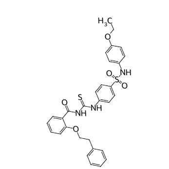 CCOc1ccc(NS(=O)(=O)c2ccc(NC(=S)NC(=O)c3ccccc3OCCc3ccccc3)cc2)cc1